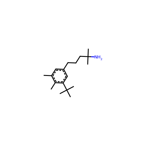 Cc1cc(CCCC(C)(C)N)cc(C(C)(C)C)c1C